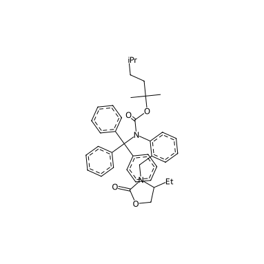 CCC1COC(=O)N1Cc1ccccc1N(C(=O)OC(C)(C)CCC(C)C)C(c1ccccc1)(c1ccccc1)c1ccccc1